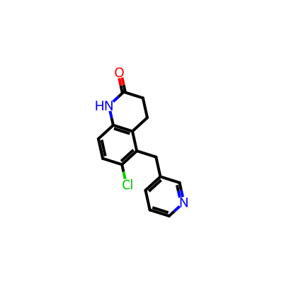 O=C1CCc2c(ccc(Cl)c2Cc2cccnc2)N1